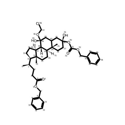 C[C@H](CCC(=O)OCc1ccccc1)[C@H]1CC[C@H]2[C@H]3[C@H](CC[C@]12C)[C@@]1(C)CC[C@@](O)(OC(=O)OCc2ccccc2)CC1C[C@@]3(O)OCCl